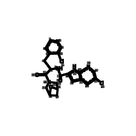 O=C(NC(Cc1ccncc1Cl)C(=O)N1CC2CC(C1)O2)c1cc2cc(Cl)cnc2[nH]1